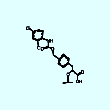 CC(C)OC(Cc1ccc(COC(=O)Nc2ccc(Cl)cc2Cl)cc1)C(=O)O